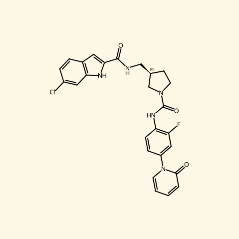 O=C(NC[C@H]1CCN(C(=O)Nc2ccc(-n3ccccc3=O)cc2F)C1)c1cc2ccc(Cl)cc2[nH]1